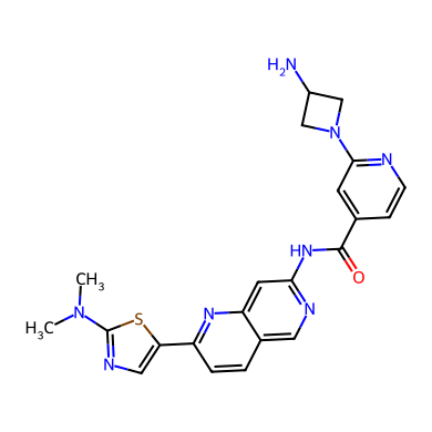 CN(C)c1ncc(-c2ccc3cnc(NC(=O)c4ccnc(N5CC(N)C5)c4)cc3n2)s1